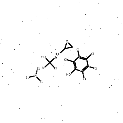 CC1CO1.CCC(O)(Br)Br.CCN(CC)CC.Oc1c(Cl)c(Cl)c(Cl)c(Cl)c1Cl